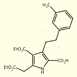 CCOC(=O)Cc1[nH]c(C(=O)O)c(CCc2cccc(C)c2)c1C(=O)OCC